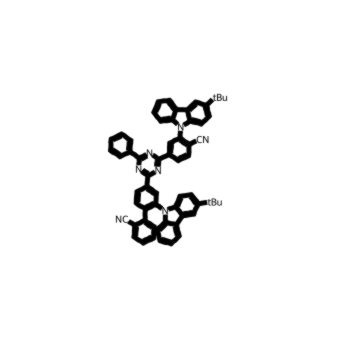 CC(C)(C)c1ccc2c(c1)c1ccccc1n2-c1cc(-c2nc(-c3ccccc3)nc(-c3ccc(-c4ccccc4C#N)c(-n4c5ccccc5c5cc(C(C)(C)C)ccc54)c3)n2)ccc1C#N